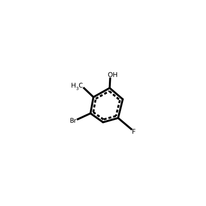 Cc1c(O)cc(F)cc1Br